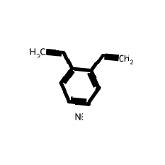 C=Cc1ccccc1C=C.[N]